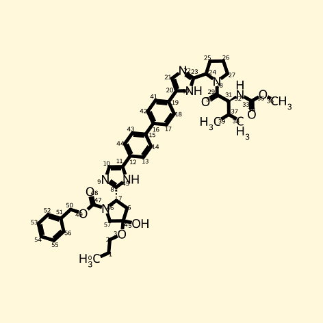 CCCOC1(O)C[C@@H](c2ncc(-c3ccc(-c4ccc(-c5cnc(C6CCCN6C(=O)[C@@H](NC(=O)OC)C(C)C)[nH]5)cc4)cc3)[nH]2)N(C(=O)OCc2ccccc2)C1